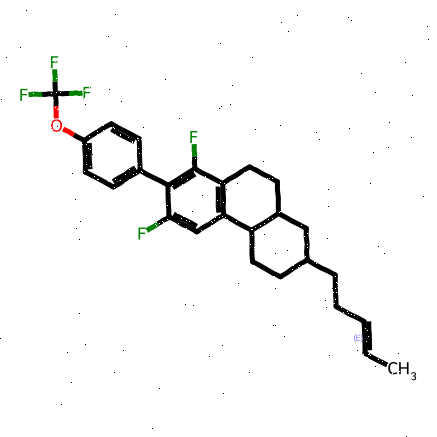 C/C=C/CCC1CCC2c3cc(F)c(-c4ccc(OC(F)(F)F)cc4)c(F)c3CCC2C1